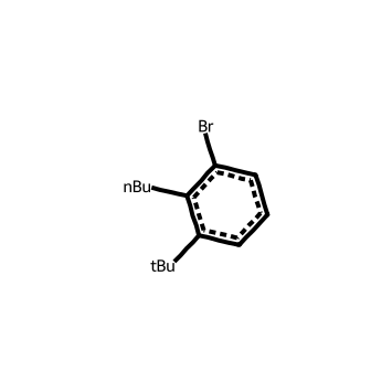 [CH2]CCCc1c(Br)cccc1C(C)(C)C